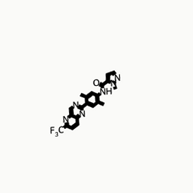 Cc1cc(-c2ncc3nc(C(F)(F)F)ccc3n2)c(C)cc1NC(=O)c1ccnn1C